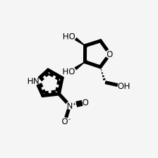 O=[N+]([O-])c1cc[nH]c1.OC[C@H]1OC[C@H](O)[C@@H]1O